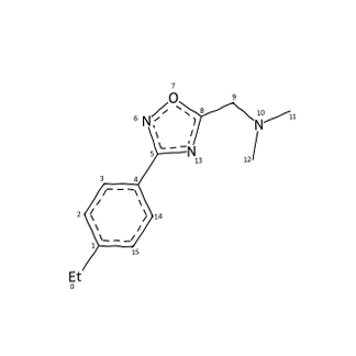 CCc1ccc(-c2noc(CN(C)C)n2)cc1